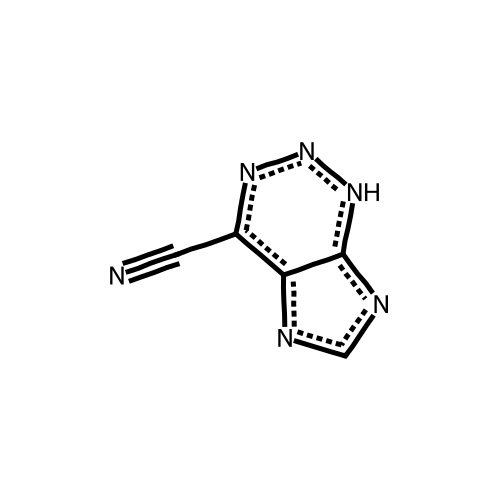 N#Cc1nn[nH]c2ncnc1-2